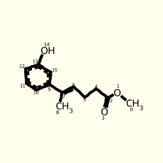 COC(=O)CCC=C(C)c1cccc(O)c1